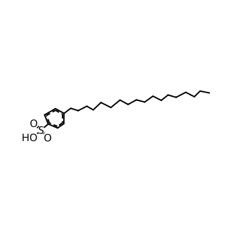 CCCCCCCCCCCCCCCCCCc1ccc(S(=O)(=O)O)cc1